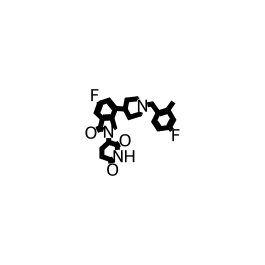 Cc1cc(F)ccc1CN1CCC(c2cc(F)cc3c2CN(C2CCC(=O)NC2=O)C3=O)CC1